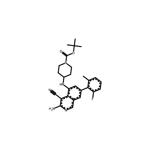 Cc1cccc(F)c1-c1cc(NC2CCN(C(=O)OC(C)(C)C)CC2)c2c(C#N)c(N)ncc2c1